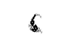 CCCCCOc1ccc(NC2=C3C(=O)C=CC(N)=C3C(=O)C=C2)cc1